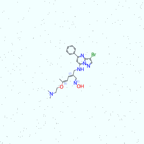 C\C(=C/C=C(\C=N\O)CNc1cc(-c2ccccc2)nc2c(Br)cnn12)OCCN(C)C